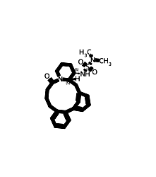 CN(C)S(=O)(=O)N[C@H]1CCCN2C(=O)CCCc3ccccc3-c3cccc(c3)C[C@@H]12